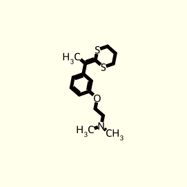 CC(=C1SCCCS1)c1cccc(OCCN(C)C)c1